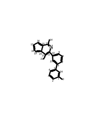 Cc1cccc(-c2cccc(-c3nc(C)c4ccccc4c3C)c2)c1